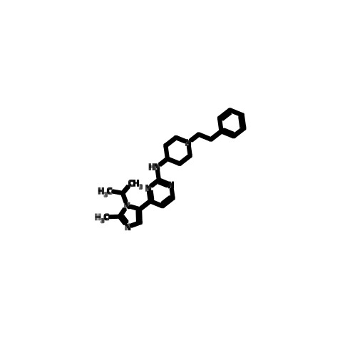 Cc1ncc(-c2ccnc(NC3CCN(CCc4ccccc4)CC3)n2)n1C(C)C